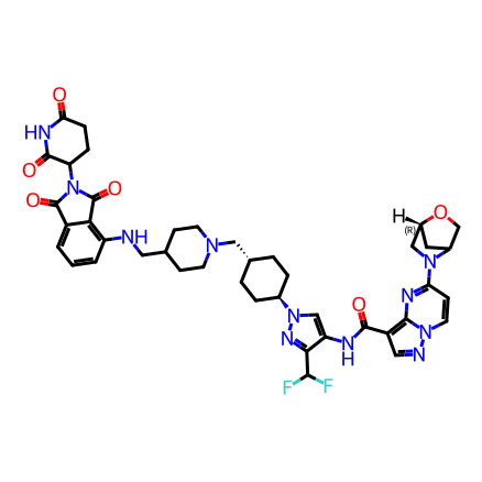 O=C1CCC(N2C(=O)c3cccc(NCC4CCN(C[C@H]5CC[C@H](n6cc(NC(=O)c7cnn8ccc(N9C[C@H]%10CC9CO%10)nc78)c(C(F)F)n6)CC5)CC4)c3C2=O)C(=O)N1